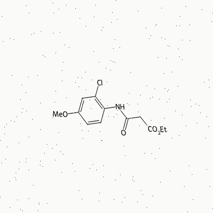 CCOC(=O)CC(=O)Nc1ccc(OC)cc1Cl